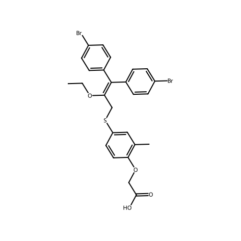 CCOC(CSc1ccc(OCC(=O)O)c(C)c1)=C(c1ccc(Br)cc1)c1ccc(Br)cc1